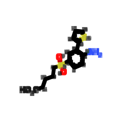 Nc1ccc(S(=O)(=O)CCCCC(=O)O)cc1-c1cccs1